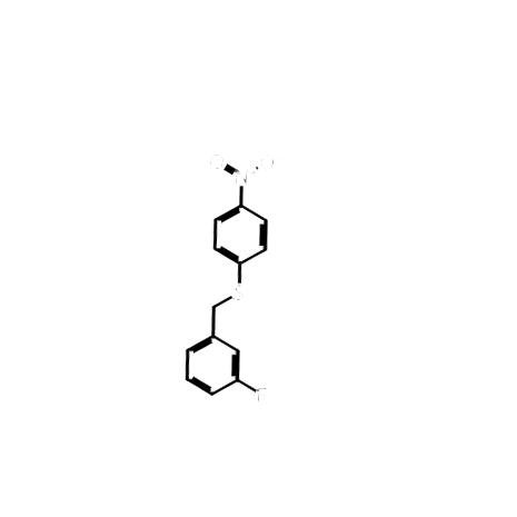 O=[N+]([O-])c1ccc(SCc2cccc(F)c2)cc1